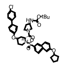 CC(C)(C)OC(=O)N[C@H]1CCN(C(=O)[C@H]2C[C@H](Oc3ccc(-c4ccc(Cl)cc4)cc3)CCN2S(=O)(=O)c2ccc3cc(OC4CCCC4)ccc3c2)C1